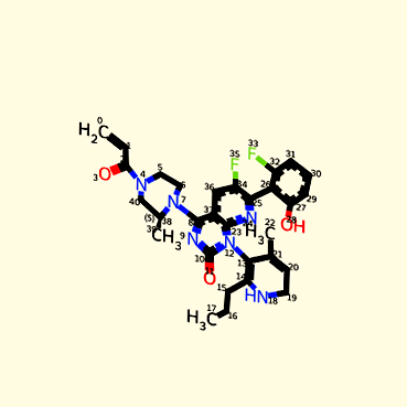 C=CC(=O)N1CCN(c2nc(=O)n(C3=C(CCC)NCC=C3C)c3nc(-c4c(O)cccc4F)c(F)cc23)[C@@H](C)C1